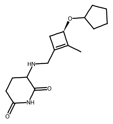 CC1=C(CNC2CCC(=O)NC2=O)C[C@H]1OC1CCCC1